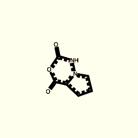 O=c1[nH]n2cccc2c(=O)o1